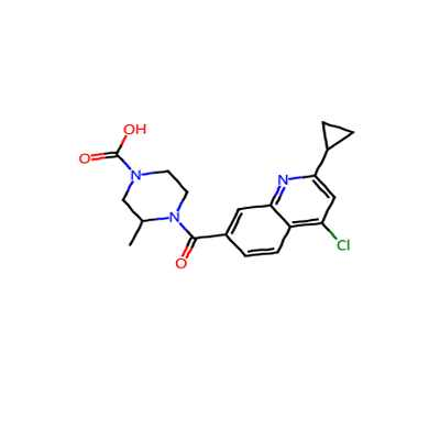 CC1CN(C(=O)O)CCN1C(=O)c1ccc2c(Cl)cc(C3CC3)nc2c1